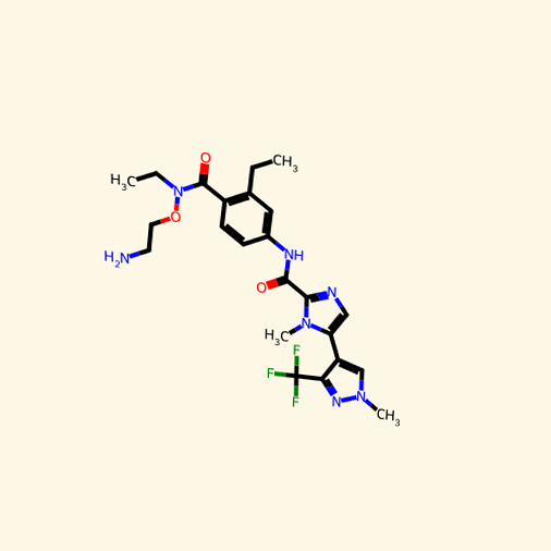 CCc1cc(NC(=O)c2ncc(-c3cn(C)nc3C(F)(F)F)n2C)ccc1C(=O)N(CC)OCCN